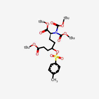 Cc1ccc(S(=O)(=O)OC(CCC(=O)OC(C)(C)C)CC[C@@H](C(=O)OC(C)(C)C)N(C(=O)OC(C)(C)C)C(=O)OC(C)(C)C)cc1